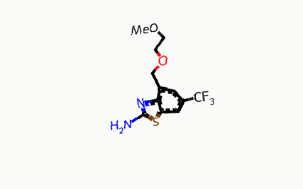 COCCOCc1cc(C(F)(F)F)cc2sc(N)nc12